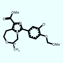 COCOc1ccc(-c2nc(C(=O)OC)c3n2C[C@@H](C)OCC3)cc1Cl